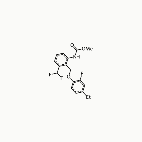 CCc1ccc(OCc2c(NC(=O)OC)cccc2C(F)F)c(F)c1